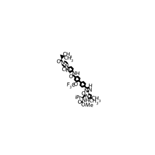 COC(=O)N[C@H](C(=O)N1CC(C)(C)C[C@H]1c1nc(-c2ccc(-c3ccc(C(=O)Nc4ccc(N5CCN(C(=O)[C@H]6CC6(C)C)C[C@H]5C)nc4)cc3OC(F)(F)F)cc2)c[nH]1)C(C)C